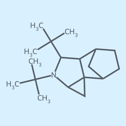 CC(C)(C)C1C2C3CCC(C3)C23CC3N1C(C)(C)C